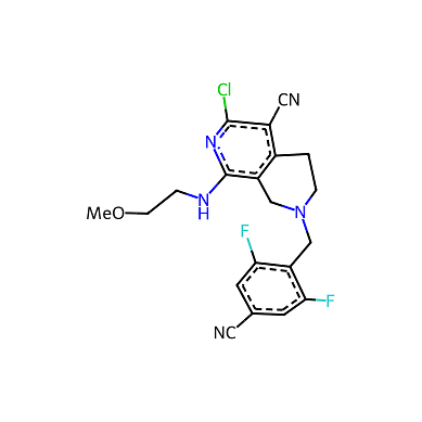 COCCNc1nc(Cl)c(C#N)c2c1CN(Cc1c(F)cc(C#N)cc1F)CC2